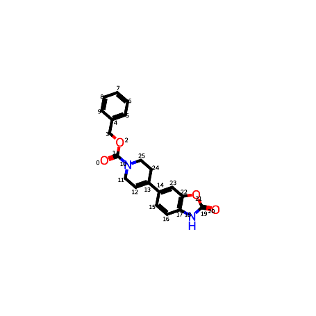 O=C(OCc1ccccc1)N1CC=C(c2ccc3[nH]c(=O)oc3c2)CC1